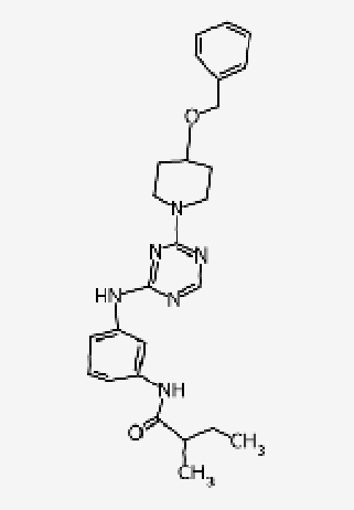 CCC(C)C(=O)Nc1cccc(Nc2ncnc(N3CCC(OCc4ccccc4)CC3)n2)c1